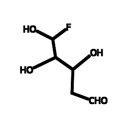 O=CCC(O)C(O)C(O)F